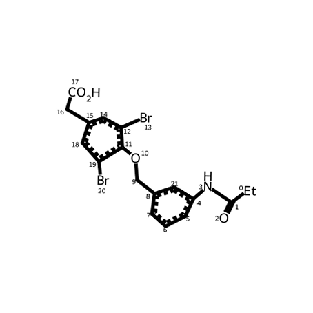 CCC(=O)Nc1cccc(COc2c(Br)cc(CC(=O)O)cc2Br)c1